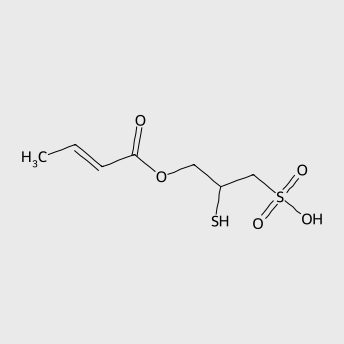 CC=CC(=O)OCC(S)CS(=O)(=O)O